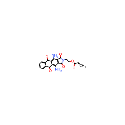 C=CC(=O)OCCn1c(=O)c2c(N)c3c(=O)c4ccccc4c(=O)c3c(N)c2c1=O